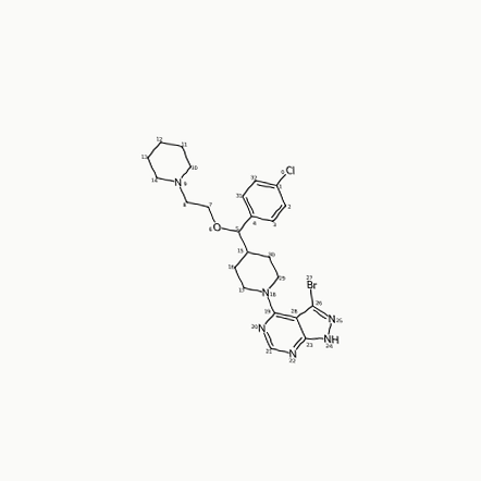 Clc1ccc(C(OCCN2CCCCC2)C2CCN(c3ncnc4[nH]nc(Br)c34)CC2)cc1